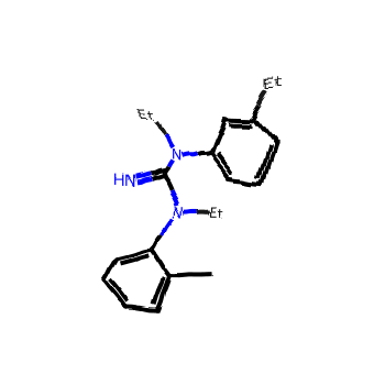 CCc1cccc(N(CC)C(=N)N(CC)c2ccccc2C)c1